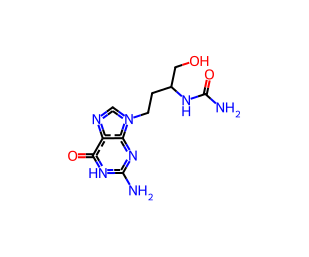 NC(=O)NC(CO)CCn1cnc2c(=O)[nH]c(N)nc21